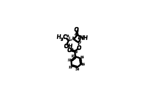 CC(O)[C@@H]1C(=O)N[C@@H]1OC(=O)c1ccccc1